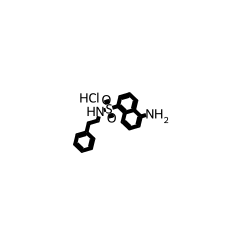 Cl.Nc1cccc2c(S(=O)(=O)NCCc3ccccc3)cccc12